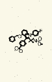 COC(=O)c1ccc(-c2c(C3(C)CN(C(=O)OC)C3)n(-c3ccc(F)cc3)c3cccc(OCc4ccccc4)c23)cc1